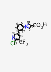 O=C(O)C1CN(c2cccc(-c3cnc(Cl)c(C(F)(F)F)c3)c2)C1